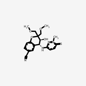 COCC1(COC)Oc2ccc(C#N)cc2[C@@H](Nc2ccc(=S)n(C)n2)[C@@H]1O